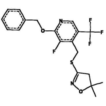 CC1(C)CC(SCc2c(C(F)(F)F)cnc(OCc3ccccc3)c2F)=NO1